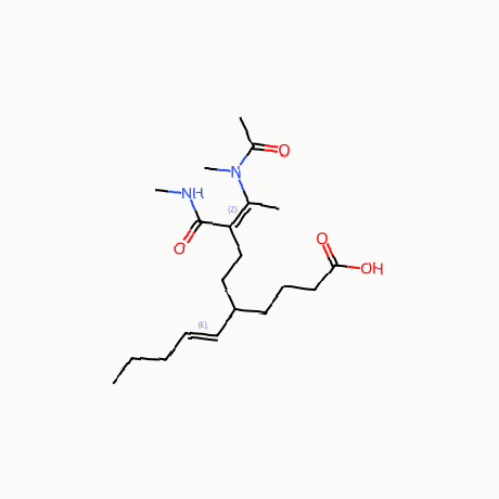 CCC/C=C/C(CCCC(=O)O)CC/C(C(=O)NC)=C(\C)N(C)C(C)=O